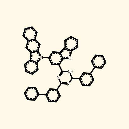 c1ccc(-c2cccc(C3=NC(c4cccc(-c5ccccc5)c4)NC(c4cc(-n5c6ccccc6c6cc7ccccc7cc65)cc5c4oc4ccccc45)=N3)c2)cc1